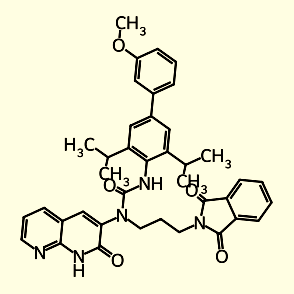 COc1cccc(-c2cc(C(C)C)c(NC(=O)N(CCCN3C(=O)c4ccccc4C3=O)c3cc4cccnc4[nH]c3=O)c(C(C)C)c2)c1